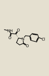 CNC(=O)C(=O)[C@H]1CCC(=O)N1Cc1ccc(Cl)cc1